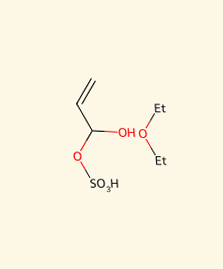 C=CC(O)OS(=O)(=O)O.CCOCC